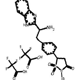 CC(C)(C)N1C(=O)CC(c2ccc(CC(N)c3nc4ccccc4[nH]3)cc2)S1(=O)=O.O=C(O)C(F)(F)F.O=C(O)C(F)(F)F